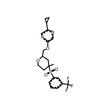 CC1(S(=O)(=O)c2cccc(C(F)(F)F)c2)CCOC(COc2cnc(C3CC3)cn2)C1